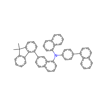 CC1(C)c2ccccc2-c2c(-c3ccc4cccc(N(c5ccc(-c6cccc7ccccc67)cc5)c5cccc6ccccc56)c4c3)cccc21